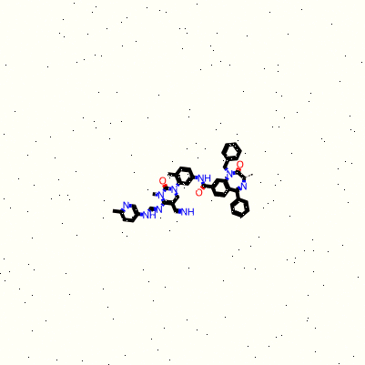 CC1=NC=C(N/C=N/C2=C(C=N)CN(c3cc(NC(=O)c4ccc5c(c4)N(Cc4ccccc4)C(=O)[C@H](C)N=C5c4ccccc4)ccc3C)C(=O)N2C)CC1